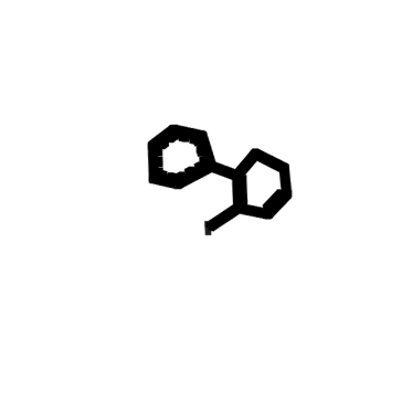 IC1=C(c2ccccc2)CCC=C1